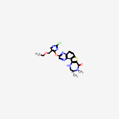 CCOCc1cnc(Cl)nc1Oc1cnc2c(ccc3sc4c(c32)NC[C@@H](C)N(C)C4=O)n1